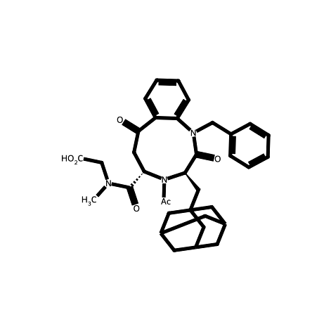 CC(=O)N1[C@H](CC23CC4CC(CC(C4)C2)C3)C(=O)N(Cc2ccccc2)c2ccccc2C(=O)C[C@H]1C(=O)N(C)CC(=O)O